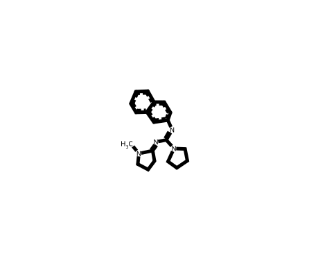 CN1CCCC1=NC(=Nc1ccc2ccccc2c1)N1CCCC1